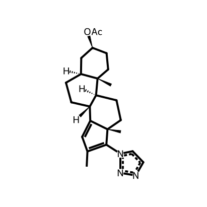 CC(=O)O[C@H]1CC[C@@]2(C)[C@@H](CC[C@H]3C4=CC(C)=C(n5ccnn5)[C@@]4(C)CC[C@@H]32)C1